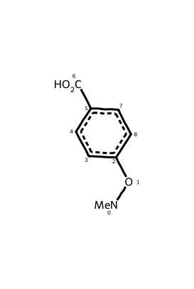 CNOc1ccc(C(=O)O)cc1